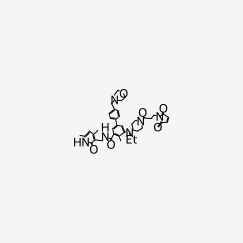 CCN(c1cc(-c2ccc(CN3CCOCC3)cc2)cc(C(=O)NCc2c(C)cc(C)[nH]c2=O)c1C)C1CCN(C(=O)CCN2C(=O)C=CC2=O)CC1